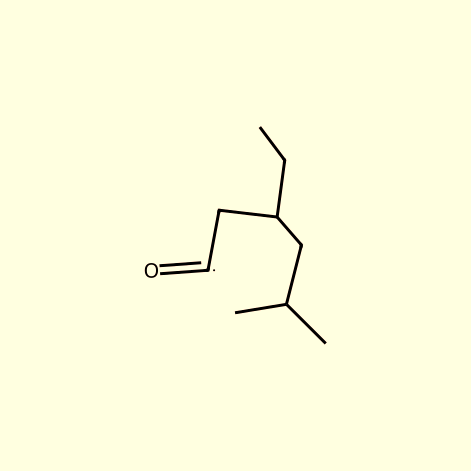 CCC(C[C]=O)CC(C)C